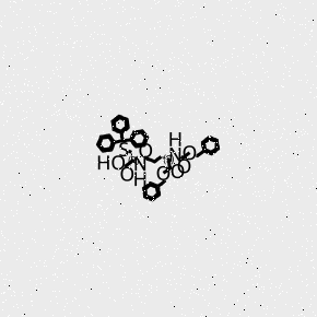 O=C(CC[C@H](NC(=O)OCc1ccccc1)C(=O)OCc1ccccc1)N[C@@H](CSC(c1ccccc1)(c1ccccc1)c1ccccc1)C(=O)O